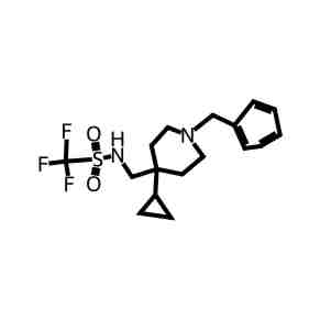 O=S(=O)(NCC1(C2CC2)CCN(Cc2ccccc2)CC1)C(F)(F)F